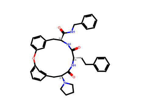 O=C(NCc1ccccc1)[C@@H]1Cc2cccc(c2)Oc2cccc(c2)C[C@H](N2CCCC2)C(=O)N[C@@H](CCc2ccccc2)C(=O)N1